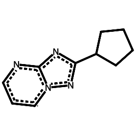 [c]1ccnc2nc(C3CCCC3)nn12